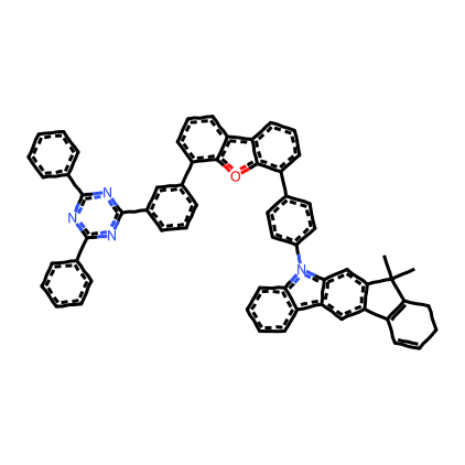 CC1(C)C2=C(C=CCC2)c2cc3c4ccccc4n(-c4ccc(-c5cccc6c5oc5c(-c7cccc(-c8nc(-c9ccccc9)nc(-c9ccccc9)n8)c7)cccc56)cc4)c3cc21